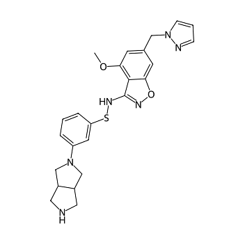 COc1cc(Cn2cccn2)cc2onc(NSc3cccc(N4CC5CNCC5C4)c3)c12